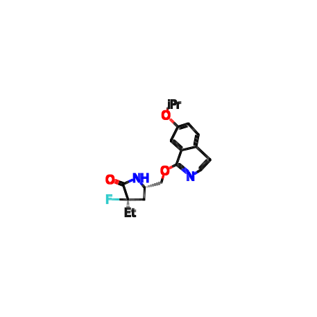 CC[C@@]1(F)C[C@@H](COc2nccc3ccc(OC(C)C)cc23)NC1=O